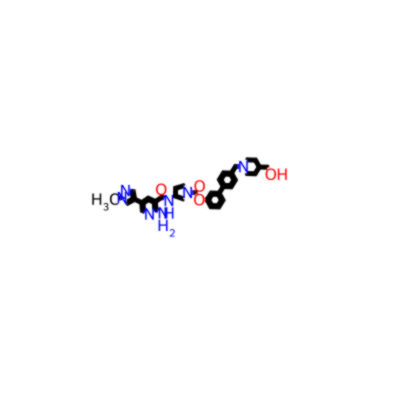 Cn1cc(-c2cnc(N)c(C(=O)N[C@@H]3CCN(C(=O)Oc4cccc(-c5ccc(CN6CCC(CO)CC6)cc5)c4)C3)c2)cn1